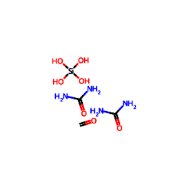 C=O.NC(N)=O.NC(N)=O.O[Si](O)(O)O